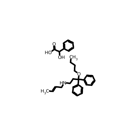 C/C=C/CNCCC(OCCCC)(c1ccccc1)c1ccccc1.O=C(O)C(O)c1ccccc1